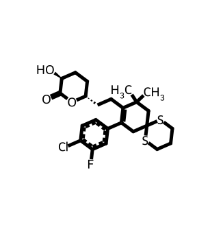 CC1(C)CC2(CC(c3ccc(Cl)c(F)c3)=C1CC[C@H]1CC[C@H](O)C(=O)O1)SCCCS2